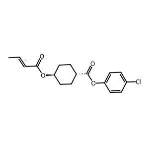 C/C=C/C(=O)O[C@H]1CC[C@H](C(=O)Oc2ccc(Cl)cc2)CC1